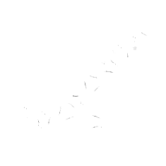 COC(=O)N[C@H](C(=O)N1CCC[C@H]1c1ncc(-c2cc(F)c3c(c2)OC(c2cnc(CC(C)(C)C)s2)n2c-3cc3cc(-c4cnc([C@@H]5CCCN5)[nH]4)ccc32)[nH]1)C(C)C